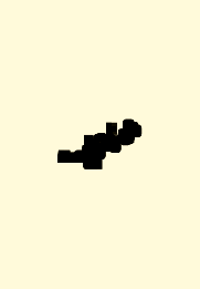 COC(CO)CC(F)(F)n1ccc(NC(=O)c2ccc3c(c2)OCO3)nc1=O